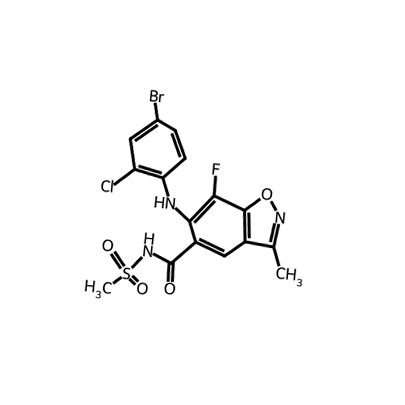 Cc1noc2c(F)c(Nc3ccc(Br)cc3Cl)c(C(=O)NS(C)(=O)=O)cc12